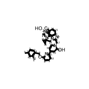 Cc1ccc(COc2cccc(C3=CC(O)N(Cc4nc5ccc(C(=O)O)cc5n4CC4(n5ccnn5)CC4)C=C3)n2)c(F)c1